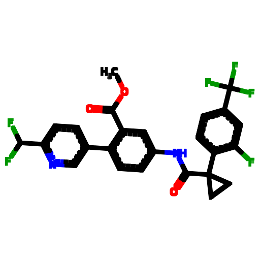 COC(=O)c1cc(NC(=O)C2(c3ccc(C(F)(F)F)cc3F)CC2)ccc1-c1ccc(C(F)F)nc1